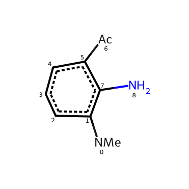 CNc1cccc(C(C)=O)c1N